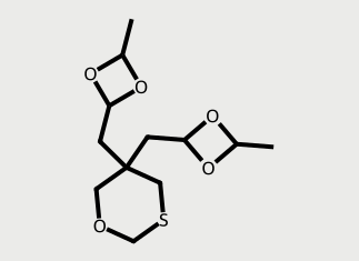 CC1OC(CC2(CC3OC(C)O3)COCSC2)O1